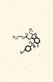 CCOC(=O)CC1=c2c(S(=O)(=O)c3ccc(Br)cc3)c(F)ccc2=NC1C